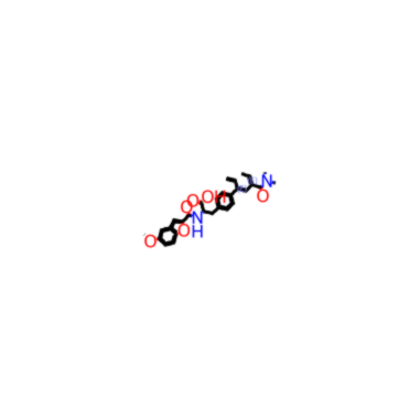 C=C/C(=C\C(=C/C)C(=O)N(C)C)c1ccc(CC(NC(=O)c2cc3cc(OC)ccc3o2)C(=O)O)cc1